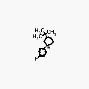 CC(C)(C)[C@H]1CCC[C@@H](c2ccc(F)cc2)C1